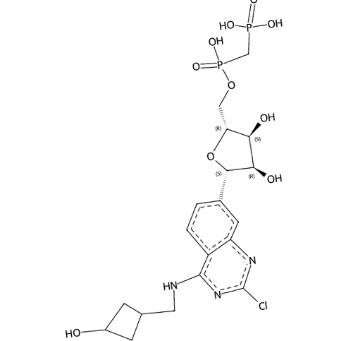 O=P(O)(O)CP(=O)(O)OC[C@H]1O[C@@H](c2ccc3c(NCC4CC(O)C4)nc(Cl)nc3c2)[C@H](O)[C@@H]1O